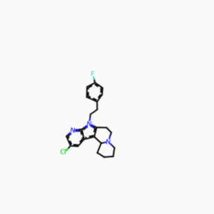 Fc1ccc(CCn2c3c(c4cc(Cl)cnc42)C2CCCCN2CC3)cc1